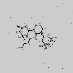 CCCCCCC1N(C2CC(C)(C)NC(C)(C)C2)CCCN1C1CC(C)(C)NC(C)(C)C1